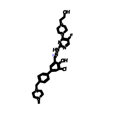 CN1CCN(Cc2ccc(-c3cc(Cl)c(O)c(/C=N/Nc4ncc(F)c(N5CCN(CCO)CC5)n4)c3)cc2)CC1